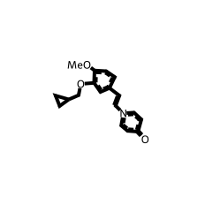 COc1ccc(/C=C/n2ccc(=O)cc2)cc1OCC1CC1